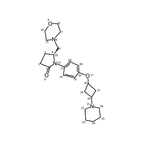 O=C1CC[C@@H](CN2CCOCC2)N1c1ccc(OC2CC(N3CCCCC3)C2)cc1